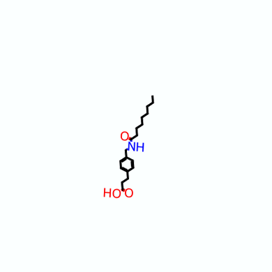 CCCCCCCCC(=O)NCc1ccc(CCC(=O)O)cc1